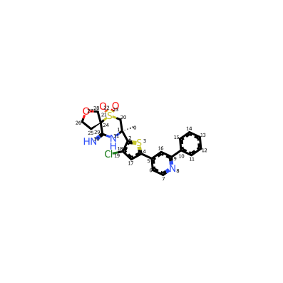 C[C@@]1(c2sc(-c3ccnc(-c4ccccc4)c3)cc2Cl)CS(=O)(=O)[C@]2(CCOC2)C(=N)N1